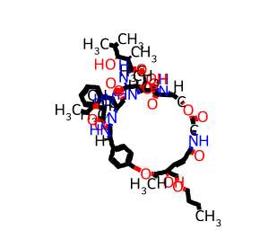 CCCCOC[C@@]1(O)/C=C/C(=O)NCC(=O)OC[C@@H]2NC(=O)[C@@H]([C@@H](C)O)NC(=O)[C@H](Cc3ccccc3)N(C)C(=O)[C@@H](NC(=O)[C@@H]([C@@H](C)CC)NC(=O)[C@@H](NC(=O)[C@H](C)[C@H](O)C(C)C)[C@@H](C)OC2=O)c2ccc(cc2)O[C@@H]1C